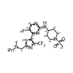 CC(C)N(C)Cc1nc(C(F)(F)F)c(-c2nc(NC3CCN(S(C)(=O)=O)CC3)ncc2F)s1